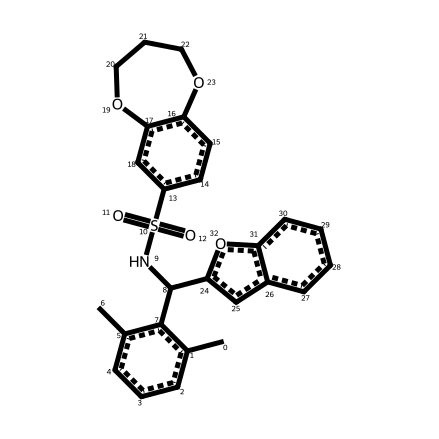 Cc1cccc(C)c1C(NS(=O)(=O)c1ccc2c(c1)OCCCO2)c1cc2ccccc2o1